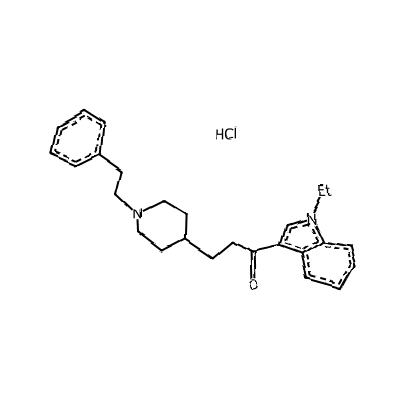 CCn1cc(C(=O)CCC2CCN(CCc3ccccc3)CC2)c2ccccc21.Cl